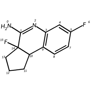 NC1=Nc2cc(F)ccc2C2CCCC12F